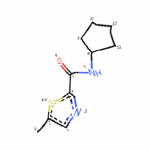 Cc1cnc(C(=O)NC2CCCC2)s1